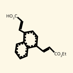 CCOC(=O)C=Cc1ccc(C=CC(=O)O)c2ccccc12